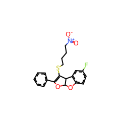 O=[N+]([O-])CCCCSC1=C(c2ccccc2)OC2Oc3ccc(F)cc3C12